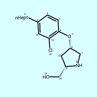 CCCCCCCc1ccc(O[C@@H]2CN[C@H](CO)C2)c(Cl)c1